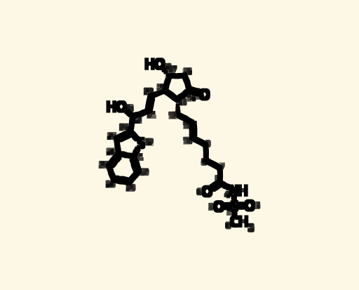 CS(=O)(=O)NC(=O)CCCC=CC[C@H]1C(=O)C[C@@H](O)[C@@H]1C=CC(O)c1cc2ccccc2s1